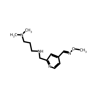 CO/N=C/c1ccnc(CNCCCN(C)C)c1